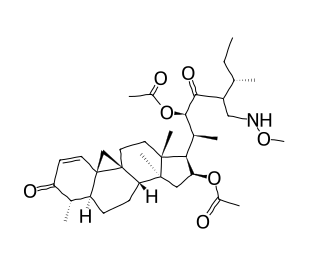 CC[C@H](C)C(CNOC)C(=O)[C@H](OC(C)=O)[C@@H](C)[C@H]1[C@@H](OC(C)=O)C[C@@]2(C)[C@@H]3CC[C@H]4[C@H](C)C(=O)C=C[C@@]45C[C@@]35CC[C@]12C